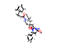 C[C@H](CC(=O)N1CC[C@](O)(Cc2nc(-c3ccccc3)cc(=O)[nH]2)CC1(C)C)c1ccccc1